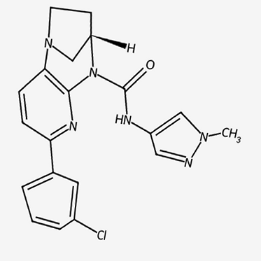 Cn1cc(NC(=O)N2c3nc(-c4cccc(Cl)c4)ccc3N3CC[C@H]2C3)cn1